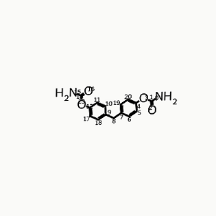 NC(=O)Oc1ccc(Cc2ccc(OC(N)=O)cc2)cc1